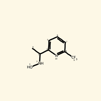 CC(NO)c1cccc(C(F)(F)F)n1